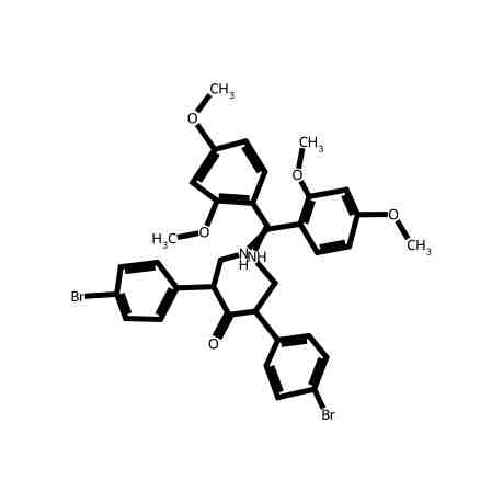 COc1ccc(CNCC(C(=O)C(CNCc2ccc(OC)cc2OC)c2ccc(Br)cc2)c2ccc(Br)cc2)c(OC)c1